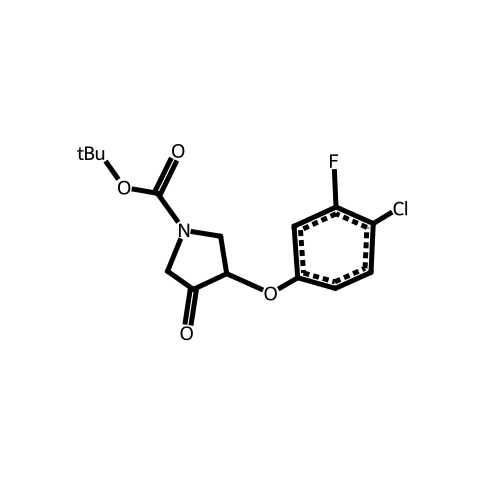 CC(C)(C)OC(=O)N1CC(=O)C(Oc2ccc(Cl)c(F)c2)C1